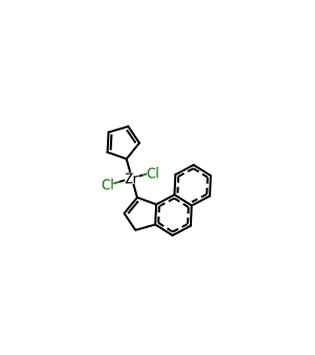 [Cl][Zr]([Cl])([C]1=CCc2ccc3ccccc3c21)[CH]1C=CC=C1